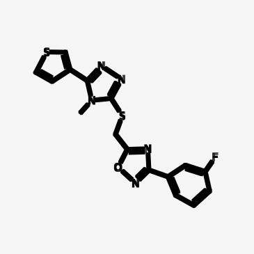 Cn1c(SCc2nc(-c3cccc(F)c3)no2)nnc1-c1ccsc1